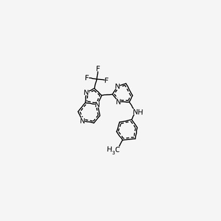 Cc1ccc(Nc2ccnc(-c3c(C(F)(F)F)nc4cnccn34)n2)cc1